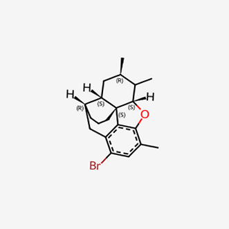 Cc1cc(Br)c2c3c1O[C@H]1C(C)[C@H](C)C[C@H]4[C@H](CCC[C@]314)C2